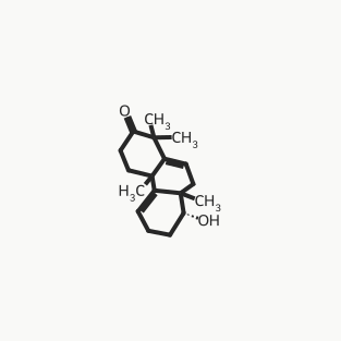 CC1(C)C(=O)CCC2(C)C1=CCC1(C)C2=CCC[C@H]1O